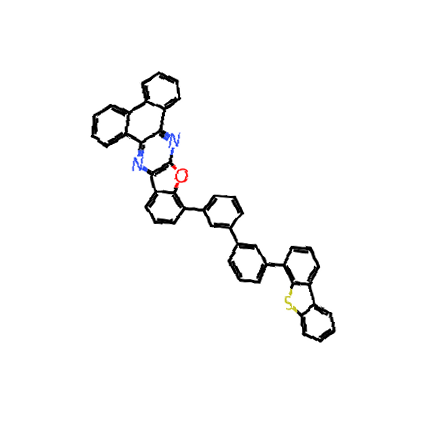 c1cc(-c2cccc(-c3cccc4c3sc3ccccc34)c2)cc(-c2cccc3c2oc2nc4c5ccccc5c5ccccc5c4nc23)c1